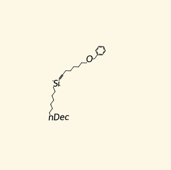 CCCCCCCCCCCCCCCCC[Si](C)(C)C#CCCCCCCOCc1ccccc1